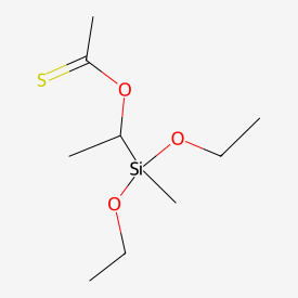 CCO[Si](C)(OCC)C(C)OC(C)=S